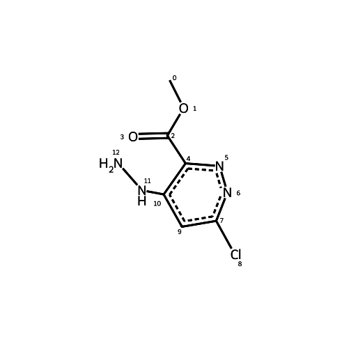 COC(=O)c1nnc(Cl)cc1NN